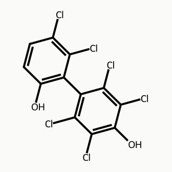 Oc1ccc(Cl)c(Cl)c1-c1c(Cl)c(Cl)c(O)c(Cl)c1Cl